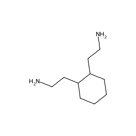 NCCC1CCCCC1CCN